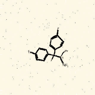 CC(C)[C@@H](N)C(F)(c1ccc(F)cc1)c1ccc(F)cc1